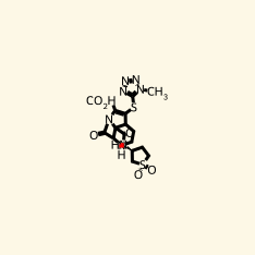 Cn1nnnc1SC1=C(C(=O)O)N2C(=O)C3NCCC1C32C(=O)N[C@H]1CCS(=O)(=O)C1